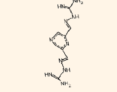 N=C(N)N/N=C/c1cncc(/C=N/NC(=N)N)n1